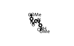 COC(=O)Nc1ccc(-c2cnc3ccc(C(=O)N(C)c4ccc(C(=O)OC)cc4)cn23)cc1